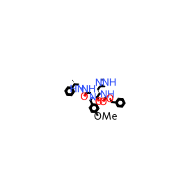 COc1ccc(CN(CC(=O)NNC[C@@H](C)c2ccccc2)C(=O)[C@H](Cc2c[nH]cn2)NC(=O)OCc2ccccc2)cc1